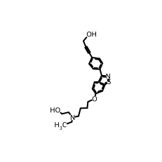 CCN(CCO)CCCCOc1ccc2c(-c3ccc(C#CCO)cc3)nsc2c1